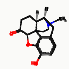 CN1CCC23c4c5ccc(O)c4OC2C(=O)CC[C@H]3[C@H]1C5